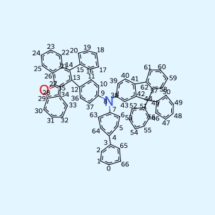 c1ccc(-c2ccc(N(c3ccc(-c4c(-c5ccccc5)c5ccccc5c5oc6ccccc6c45)cc3)c3ccc4c(c3)C(c3ccccc3)(c3ccccc3)c3ccccc3-4)cc2)cc1